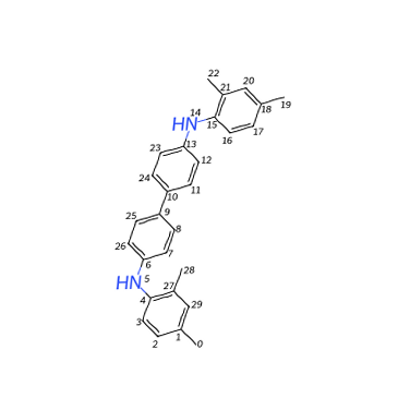 Cc1ccc(Nc2ccc(-c3ccc(Nc4ccc(C)cc4C)cc3)cc2)c(C)c1